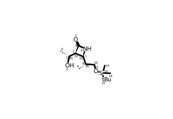 C[C@@H](O)[C@H]1C(=O)N[C@H]1[C@@H](C)CO[Si](C)(C)C(C)(C)C